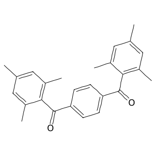 Cc1cc(C)c(C(=O)c2ccc(C(=O)c3c(C)cc(C)cc3C)cc2)c(C)c1